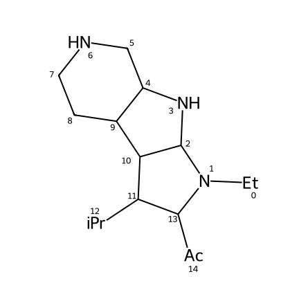 CCN1C2NC3CNCCC3C2C(C(C)C)C1C(C)=O